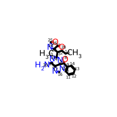 CCCC(C1=NC2(C(=O)c3ccccc3)N=CN=C2C(N)=N1)C1(C)N=COC1=O